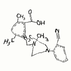 Cc1cc(C)c(C(=O)O)cc1CN1CCN(c2ccccc2C#N)CC1(C)C